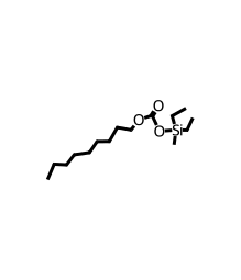 CCCCCCCCCOC(=O)O[Si](C)(CC)CC